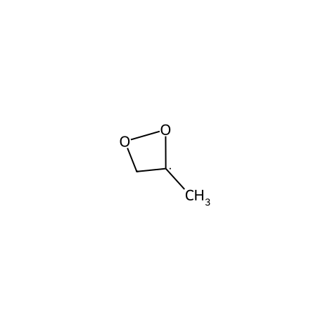 C[C]1COO1